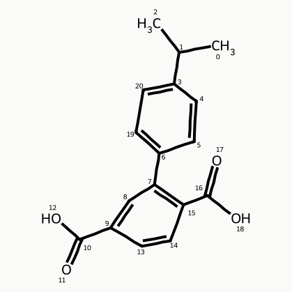 CC(C)c1ccc(-c2cc(C(=O)O)ccc2C(=O)O)cc1